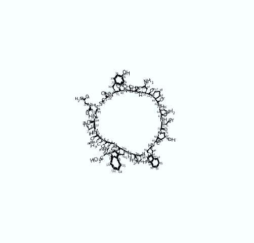 CCCC[C@H]1C(=O)N(C)[C@@H](CCCC)C(=O)N[C@@H](CC(C)C)C(=O)N[C@H](C(=O)NCC(N)=O)CSCC(=O)N[C@@H](Cc2ccc(O)cc2)C(=O)N(C)[C@@H](C)C(=O)N[C@@H](CC(N)=O)C(=O)N2CCCC2C(=O)N[C@@H](CN)C(=O)N[C@@H](CC(C)C)C(=O)N2C[C@H](O)C[C@H]2C(=O)N[C@@H](Cc2c[nH]c3ccccc23)C(=O)N[C@@H](CN)C(=O)N[C@@H](Cc2cn(CC(=O)O)c3ccccc23)C(=O)N1C